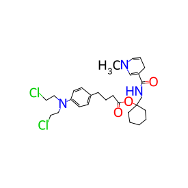 CN1C=CCC(C(=O)NCC2(OC(=O)CCCc3ccc(N(CCCl)CCCl)cc3)CCCCC2)=C1